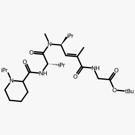 C/C(=C\[C@H](C(C)C)N(C)C(=O)[C@@H](NC(=O)C1CCCCN1C(C)C)C(C)C)C(=O)NCC(=O)OC(C)(C)C